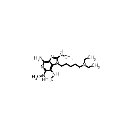 CCN([CH]CCCCn1c(NC)nc2c(N)nc(NC)c(NC)c21)CC